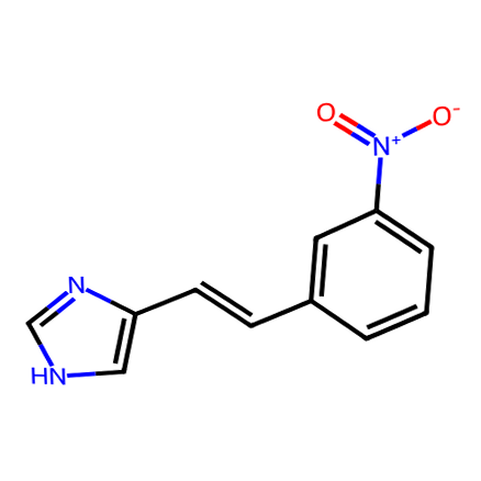 O=[N+]([O-])c1cccc(C=Cc2c[nH]cn2)c1